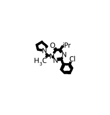 CC(C)c1nc(-c2ccccc2Cl)nn(C(C)N2CCCC2)c1=O